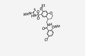 CCOc1cc2c(cc1S(=O)(=O)NC(=S)NC)C(CNC(=O)c1cc(Cl)ccc1OC)CCO2